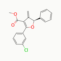 C=C1C(C(=O)OC)=C(c2cccc(Cl)c2)O[C@@H]1c1ccccc1